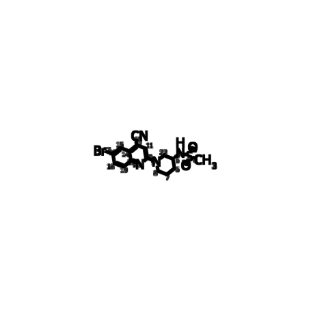 CS(=O)(=O)N[C@H]1CCCN(c2cc(C#N)c3cc(Br)ccc3n2)C1